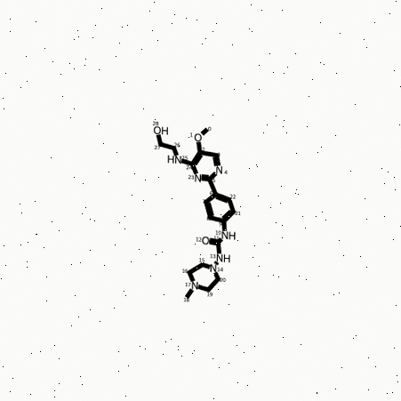 COc1cnc(-c2ccc(NC(=O)NN3CCN(C)CC3)cc2)nc1NCCO